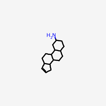 NC1CCC2CCC3C4CC=CC4CCC3C2C1